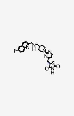 O=C1NC(=O)/C(=C/c2ccnc(N3CCC(CNCc4ccc5cc(F)ccc5n4)CC3)n2)S1